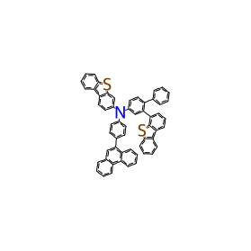 c1ccc(-c2ccc(N(c3ccc(-c4cc5ccccc5c5ccccc45)cc3)c3ccc4c(c3)sc3ccccc34)cc2-c2cccc3c2sc2ccccc23)cc1